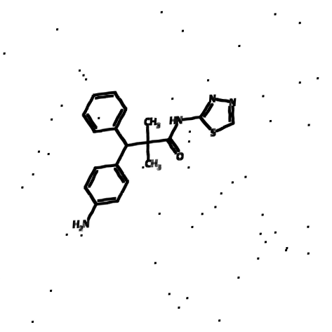 CC(C)(C(=O)Nc1nncs1)C(c1ccccc1)c1ccc(N)cc1